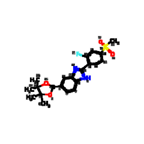 CC1(C)OB(c2ccc3[nH]c(-c4ccc(S(C)(=O)=O)cc4F)nc3c2)OC1(C)C